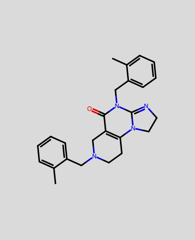 Cc1ccccc1CN1CCC2=C(C1)C(=O)N(Cc1ccccc1C)C1=NCCN12